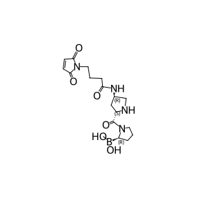 O=C(CCCN1C(=O)C=CC1=O)N[C@H]1CN[C@H](C(=O)N2CCC[C@H]2B(O)O)C1